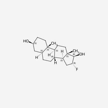 C[C@]12CC[C@H](O)C[C@@H]1CC[C@@H]1[C@@H]2CC[C@]2(C)[C@@H](O)[C@H](F)C[C@@H]12